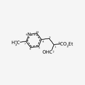 CCOC(=O)C(C=O)Cc1ccc(C)nc1